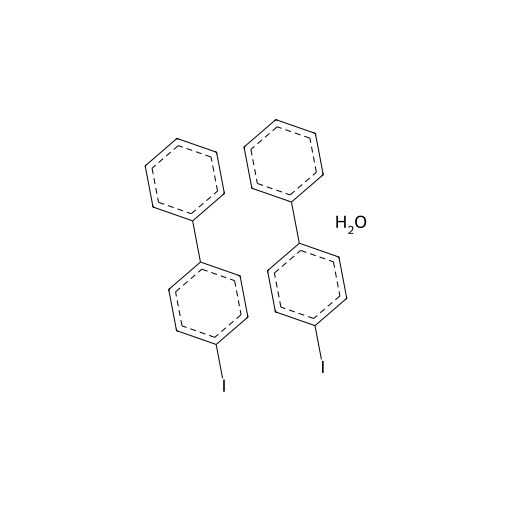 Ic1ccc(-c2ccccc2)cc1.Ic1ccc(-c2ccccc2)cc1.O